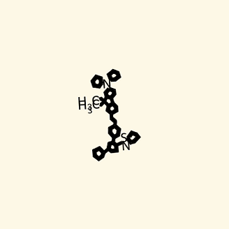 CCC1(CC)c2cc(/C=C/c3ccc(-c4cc(-c5ccccc5)ccc4-c4nc5ccccc5s4)cc3)ccc2-c2ccc(N(c3ccccc3)c3ccccc3)cc21